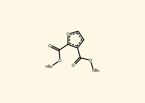 CCCCOC(=O)c1ccoc1C(=O)OCCCC